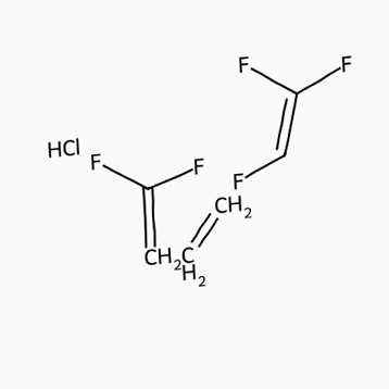 C=C.C=C(F)F.Cl.FC=C(F)F